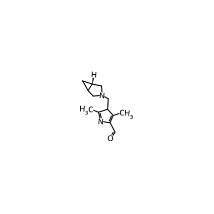 CC1=NC(C=O)=C(C)C1CN1CC2C[C@@H]2C1